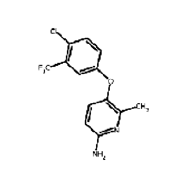 Cc1nc(N)ccc1Oc1ccc(Cl)c(C(F)(F)F)c1